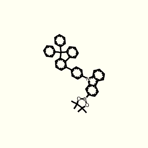 CC1(C)OB(c2ccc3c4ccccc4n(-c4ccc(-c5cccc6c5-c5ccccc5C6(c5ccccc5)c5ccccc5)cc4)c3c2)OC1(C)C